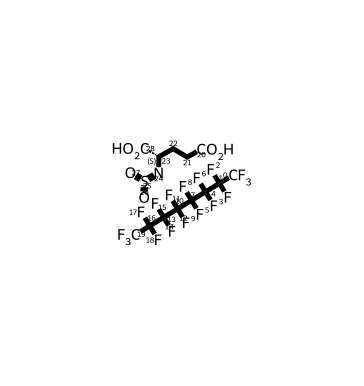 FC(F)(F)C(F)(F)C(F)(F)C(F)(F)C(F)(F)C(F)(F)C(F)(F)C(F)(F)F.O=C(O)CC[C@H](N=S(=O)=O)C(=O)O